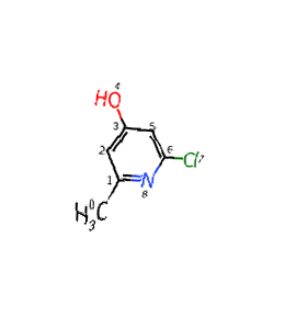 Cc1cc(O)cc(Cl)n1